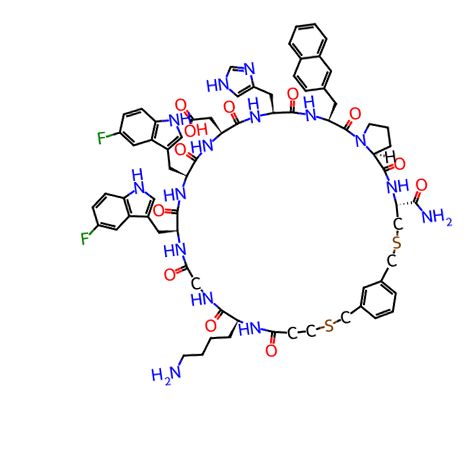 NCCCC[C@@H]1NC(=O)CCSCc2cccc(c2)CSC[C@@H](C(N)=O)NC(=O)[C@@H]2CCCN2C(=O)[C@H](Cc2ccc3ccccc3c2)NC(=O)[C@H](Cc2c[nH]cn2)NC(=O)[C@H](CC(=O)O)NC(=O)[C@H](Cc2c[nH]c3ccc(F)cc23)NC(=O)[C@H](Cc2c[nH]c3ccc(F)cc23)NC(=O)CNC1=O